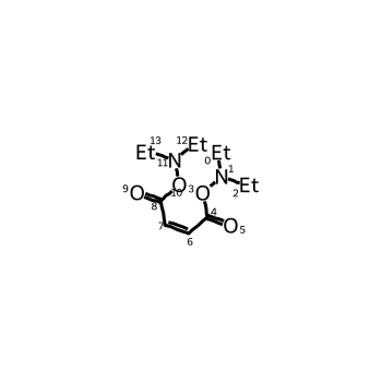 CCN(CC)OC(=O)/C=C\C(=O)ON(CC)CC